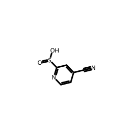 N#Cc1ccnc(S(=O)O)c1